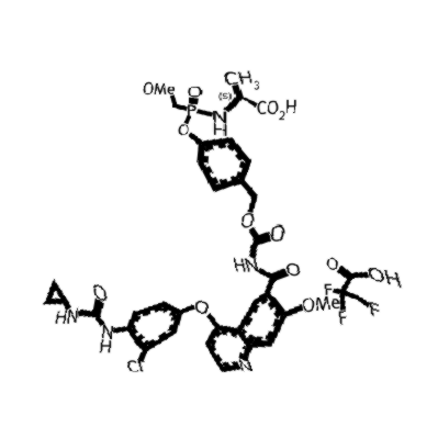 COCP(=O)(N[C@@H](C)C(=O)O)Oc1ccc(COC(=O)NC(=O)c2cc3c(Oc4ccc(NC(=O)NC5CC5)c(Cl)c4)ccnc3cc2OC)cc1.O=C(O)C(F)(F)F